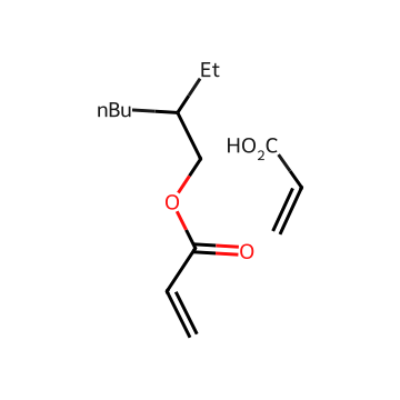 C=CC(=O)O.C=CC(=O)OCC(CC)CCCC